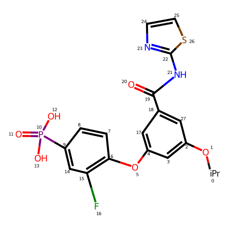 CC(C)Oc1cc(Oc2ccc(P(=O)(O)O)cc2F)cc(C(=O)Nc2nccs2)c1